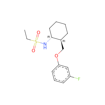 CCS(=O)(=O)N[C@@H]1CCCC[C@H]1COc1cccc(F)c1